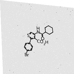 O=C(O)c1c(NC(=O)C2CCCCC2)csc1-c1ccc(Br)cc1